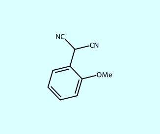 COc1ccccc1C(C#N)C#N